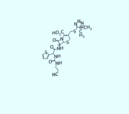 C[N+]1(C)N=NN=C1SCC1=C(C(=O)O)N2C(=O)[C@H](NC(=O)C(NC(=O)NCCC#N)c3cccs3)C2SC1